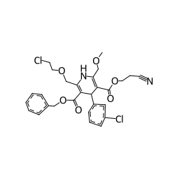 COCC1=C(C(=O)OCCC#N)C(c2cccc(Cl)c2)C(C(=O)OCc2ccccc2)=C(COCCCl)N1